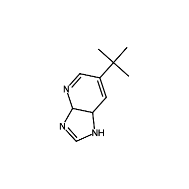 CC(C)(C)C1=CC2NC=NC2N=C1